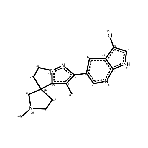 Cc1c(-c2cnc3[nH]cc(Cl)c3c2)nn2c1C1(CCN(C)C1)CC2